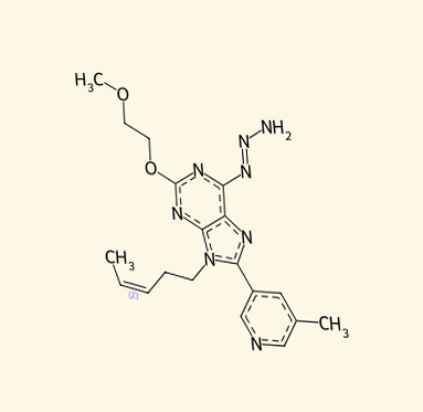 C/C=C\CCn1c(-c2cncc(C)c2)nc2c(N=NN)nc(OCCOC)nc21